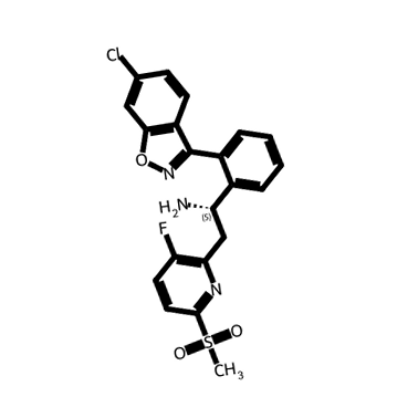 CS(=O)(=O)c1ccc(F)c(C[C@H](N)c2ccccc2-c2noc3cc(Cl)ccc23)n1